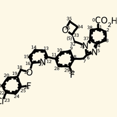 O=C(O)c1ccc2nc(Cc3ccc(-c4cccc(OCc5ccc(Cl)cc5F)n4)cc3F)n(C[C@@H]3CCO3)c2c1